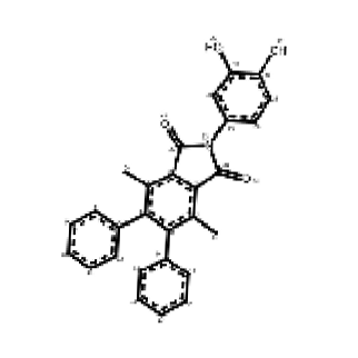 Cc1c2c(c(C)c(-c3ccccc3)c1-c1ccccc1)C(=O)N(c1ccc(O)c(O)c1)C2=O